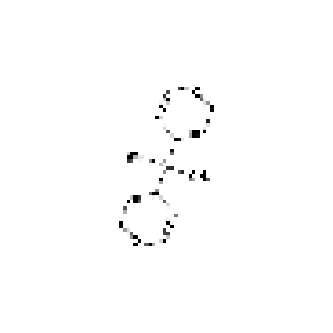 CC(C)[Si](C)(c1ccccc1)c1ccccc1